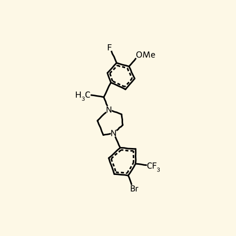 COc1ccc(C(C)N2CCN(c3ccc(Br)c(C(F)(F)F)c3)CC2)cc1F